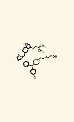 CN(C)CCc1c[nH]c2ccc(Cn3cncn3)cc12.OCCOCCN1CCN(C(c2ccccc2)c2ccc(Cl)cc2)CC1